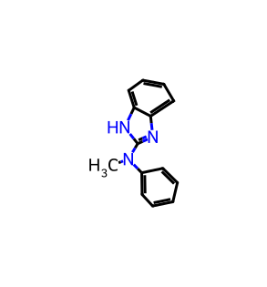 CN(c1ccccc1)c1nc2ccccc2[nH]1